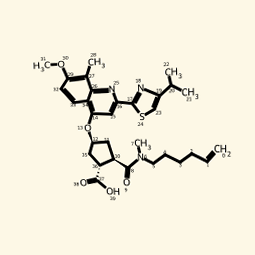 C=CCCCCN(C)C(=O)[C@@H]1C[C@H](Oc2cc(-c3nc(C(C)C)cs3)nc3c(C)c(OC)ccc23)C[C@H]1C(=O)O